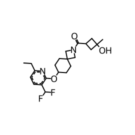 CCc1ccc(C(F)F)c(OC2CCC3(CC2)CN(C(=O)C2CC(C)(O)C2)C3)n1